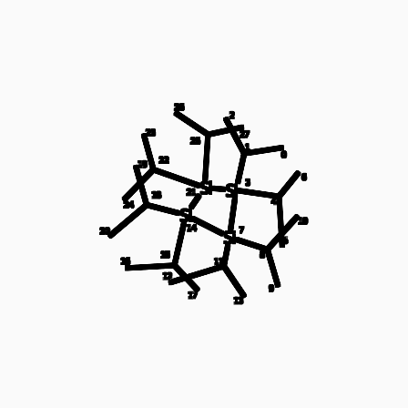 CC(C)[Si]1(C(C)C)[Si](C(C)C)(C(C)C)[Si](C(C)C)(C(C)C)[Si]1(C(C)C)C(C)C